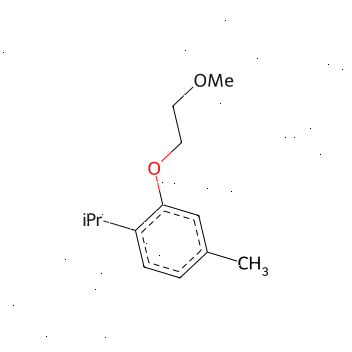 COCCOc1cc(C)ccc1C(C)C